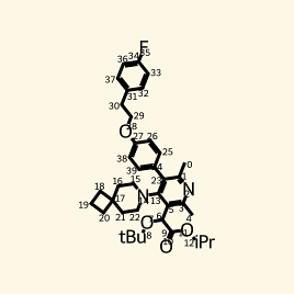 Cc1nc(C)c(C(OC(C)(C)C)C(=O)OC(C)C)c(N2CCC3(CCC3)CC2)c1-c1ccc(OCCc2ccc(F)cc2)cc1